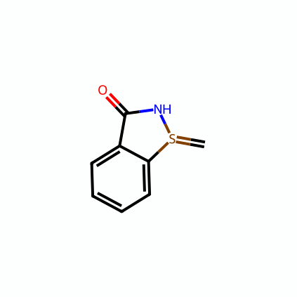 C=S1NC(=O)c2ccccc21